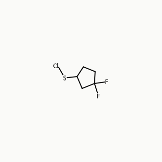 FC1(F)CCC(SCl)C1